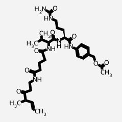 CC=CC(C)C(=O)CCNC(=O)CCCC(=O)NC(C(=O)N[C@@H](CCCNC(N)=O)C(=O)Nc1ccc(COC(C)=O)cc1)C(C)C